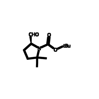 CC(C)(C)OC(=O)N1[C@H](C=O)CCC1(C)C